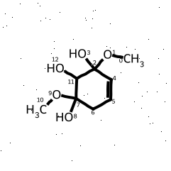 COC1(O)C=CCC(O)(OC)C1O